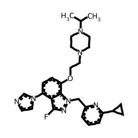 CC(C)N1CCN(CCOc2ccc(-n3ccnc3)c3c(F)nn(Cc4cccc(C5CC5)n4)c23)CC1